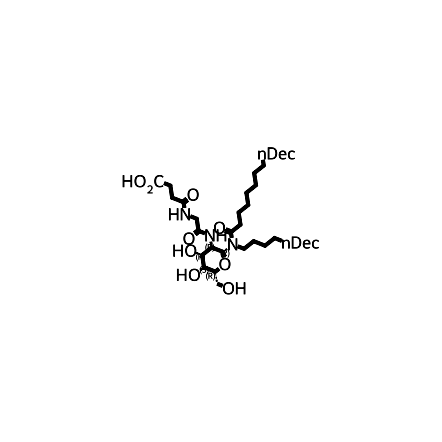 CCCCCCCCCCCCCCCCCC(=O)N(CCCCCCCCCCCCCC)[C@@H]1O[C@H](CO)[C@@H](O)[C@H](O)[C@H]1NC(=O)CNC(=O)CCC(=O)O